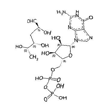 C[C@H](O)[C@@H](O)C[C@H](O)C=O.Nc1nc2c(ncn2[C@@H]2O[C@H](COP(=O)(O)OP(=O)(O)O)[C@@H](O)[C@H]2O)c(=O)[nH]1